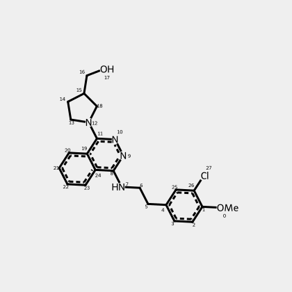 COc1ccc(CCNc2nnc(N3CCC(CO)C3)c3ccccc23)cc1Cl